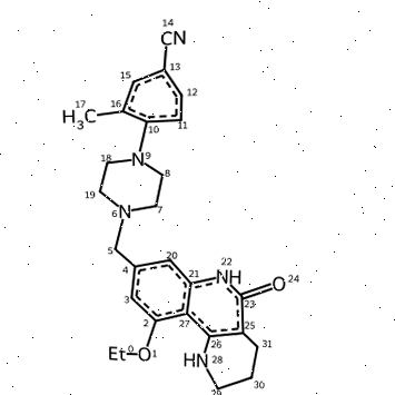 CCOc1cc(CN2CCN(c3ccc(C#N)cc3C)CC2)cc2[nH]c(=O)c3c(c12)NCCC3